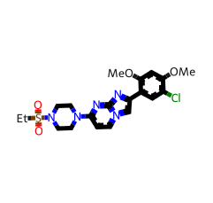 CCS(=O)(=O)N1CCN(c2ccn3cc(-c4cc(Cl)c(OC)cc4OC)nc3n2)CC1